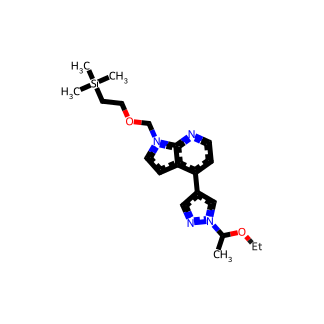 CCOC(C)n1cc(-c2ccnc3c2ccn3COCC[Si](C)(C)C)cn1